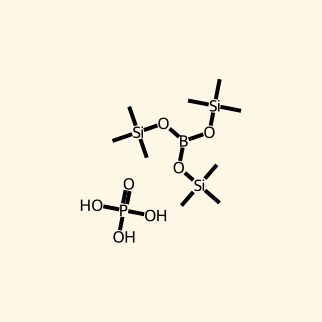 C[Si](C)(C)OB(O[Si](C)(C)C)O[Si](C)(C)C.O=P(O)(O)O